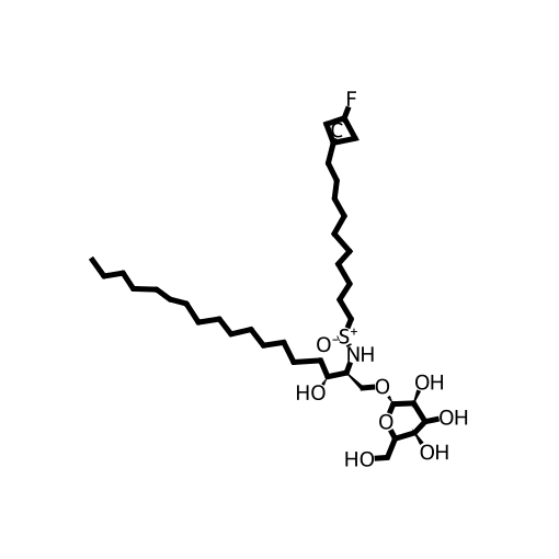 CCCCCCCCCCCCCCC[C@@H](O)[C@H](CO[C@H]1OC(CO)[C@H](O)C(O)[C@@H]1O)N[S+]([O-])CCCCCCCCCCC12CC(F)(C1)C2